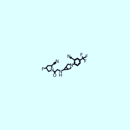 N#Cc1cc(C(F)(F)F)ccc1N1CC2C(C1)C2NCC(=O)N1CC(F)CC1C#N